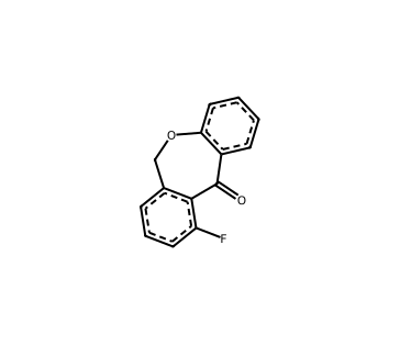 O=C1c2ccccc2OCc2cccc(F)c21